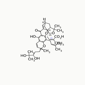 CC(C)=CCc1c2c(c(O)c3c1O[C@]14C(=C[C@@H]5CC1C(C)(C)O[C@@]4(C/C=C(/C)C(=O)O)C5)C3=O)C=C[C@@](C)(CCC(O)C(C)(C)O)O2